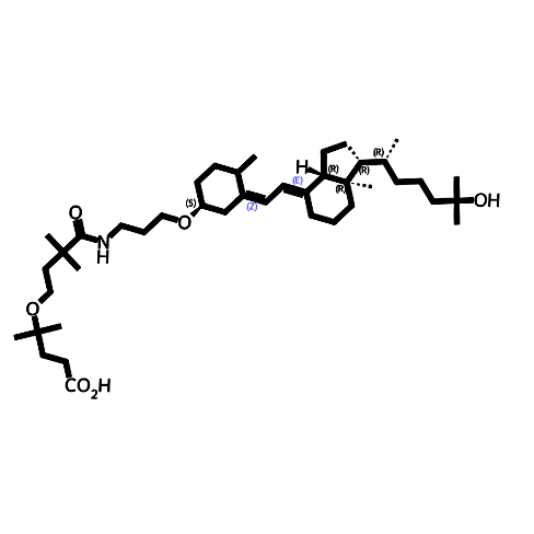 CC1CC[C@H](OCCCNC(=O)C(C)(C)CCOC(C)(C)CCC(=O)O)C/C1=C/C=C1\CCC[C@]2(C)[C@@H]([C@H](C)CCCC(C)(C)O)CC[C@@H]12